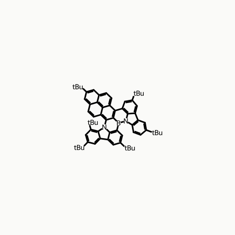 CC(C)(C)c1cc2ccc3c4c5c(c6ccc(c1)c2c36)-n1c2c(cc(C(C)(C)C)cc2c2cc(C(C)(C)C)cc(C(C)(C)C)c21)B5n1c2ccc(C(C)(C)C)cc2c2cc(C(C)(C)C)cc-4c21